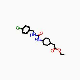 CCOC(=O)CC1CCC(NC(=O)NCc2ccc(Cl)cc2)CC1